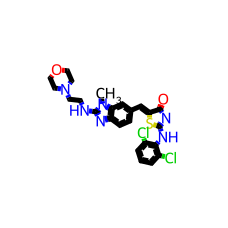 Cn1c(NCCN2CCOCC2)nc2ccc(/C=C3\SC(Nc4c(Cl)cccc4Cl)=NC3=O)cc21